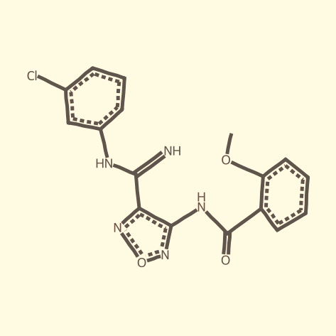 COc1ccccc1C(=O)Nc1nonc1C(=N)Nc1cccc(Cl)c1